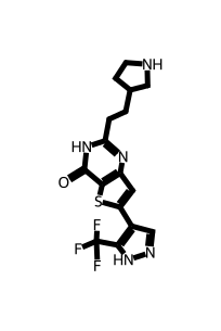 O=c1[nH]c(CCC2CCNC2)nc2cc(-c3cn[nH]c3C(F)(F)F)sc12